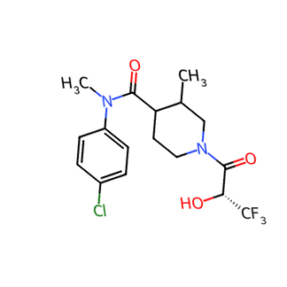 CC1CN(C(=O)[C@@H](O)C(F)(F)F)CCC1C(=O)N(C)c1ccc(Cl)cc1